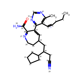 CCC/C=C\c1c(C)ncnc1C1=CC(CC(CC#N)C2CCCC2)CCN=C1C(N)=O